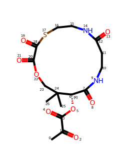 CC(=O)C(=O)O[C@H]1C(=O)NCCC(=O)NCCSC(=O)C(=O)OCC1(C)C